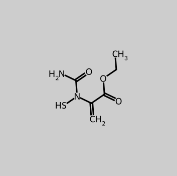 C=C(C(=O)OCC)N(S)C(N)=O